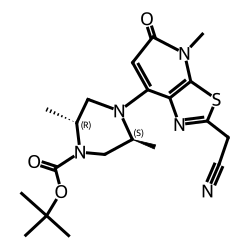 C[C@@H]1CN(c2cc(=O)n(C)c3sc(CC#N)nc23)[C@@H](C)CN1C(=O)OC(C)(C)C